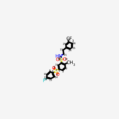 Cc1ccc(S(=O)(=O)c2ccc(F)cc2)cc1S(=O)(=O)NCCc1cccc(C(F)(F)F)c1